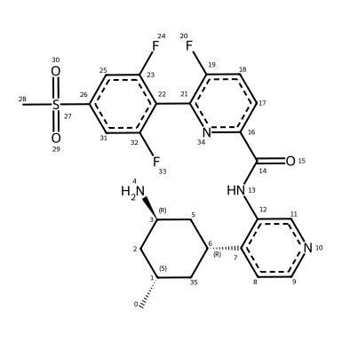 C[C@@H]1C[C@@H](N)C[C@H](c2ccncc2NC(=O)c2ccc(F)c(-c3c(F)cc(S(C)(=O)=O)cc3F)n2)C1